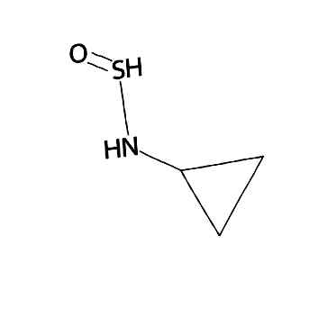 O=[SH]NC1CC1